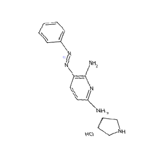 C1CCNC1.Cl.Nc1ccc(/N=N/c2ccccc2)c(N)n1